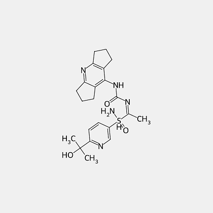 C/C(=N/C(=O)Nc1c2c(nc3c1CCC3)CCC2)[SH](N)(=O)c1ccc(C(C)(C)O)nc1